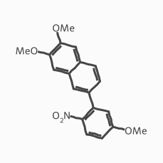 COc1ccc([N+](=O)[O-])c(-c2ccc3cc(OC)c(OC)cc3c2)c1